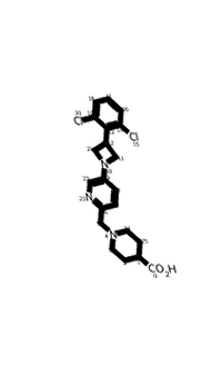 O=C(O)C1CCN(Cc2ccc(N3CC(c4c(Cl)cccc4Cl)C3)cn2)CC1